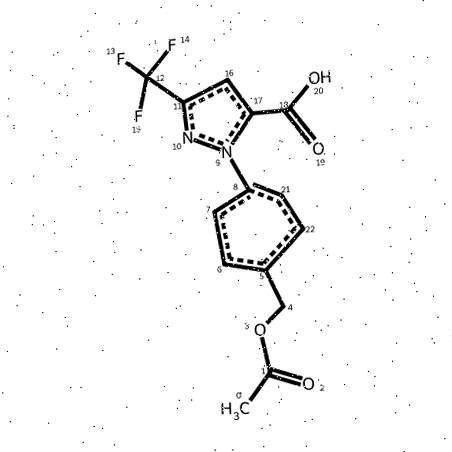 CC(=O)OCc1ccc(-n2nc(C(F)(F)F)cc2C(=O)O)cc1